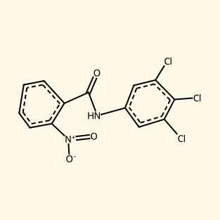 O=C(Nc1cc(Cl)c(Cl)c(Cl)c1)c1ccccc1[N+](=O)[O-]